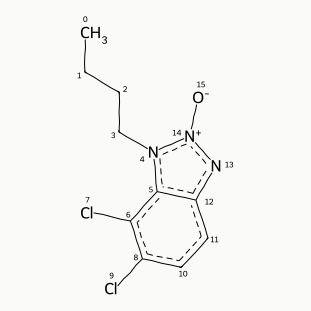 CCCCn1c2c(Cl)c(Cl)ccc2n[n+]1[O-]